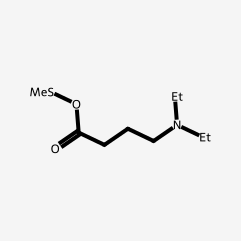 CCN(CC)CCCC(=O)OSC